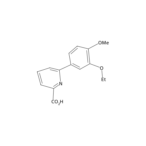 CCOc1cc(-c2cccc(C(=O)O)n2)ccc1OC